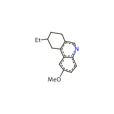 CCC1CCc2cnc3ccc(OC)cc3c2C1